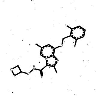 Cc1cc(OCc2c(F)cccc2F)c2nc(C)c(C(=O)NOC3COC3)n2c1